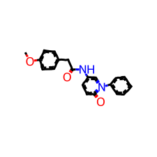 COc1ccc(CC(=O)Nc2ccc(=O)n(-c3ccccc3)c2)cc1